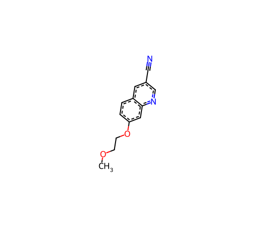 COCCOc1ccc2cc(C#N)cnc2c1